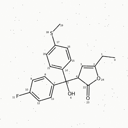 CCC1=CC(C(O)(c2ccc(F)cc2)c2ccc(SC)cc2)C(=O)O1